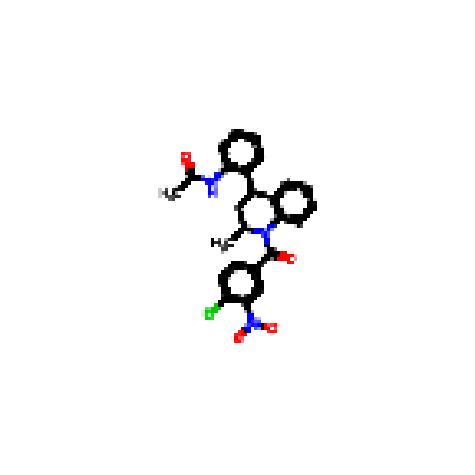 CC(=O)Nc1ccccc1C1CC(C)N(C(=O)c2ccc(Cl)c([N+](=O)[O-])c2)c2ccccc21